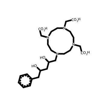 O=C(O)CN1CCN(CC(=O)O)CCN(CC(O)CC(O)Cc2ccccc2)CCN(CC(=O)O)CC1